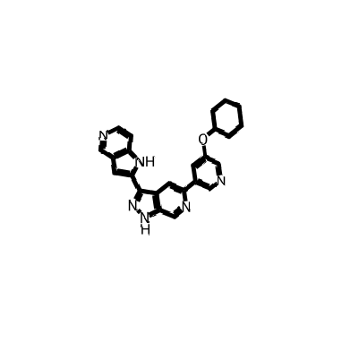 c1cc2[nH]c(-c3n[nH]c4cnc(-c5cncc(OC6CCCCC6)c5)cc34)cc2cn1